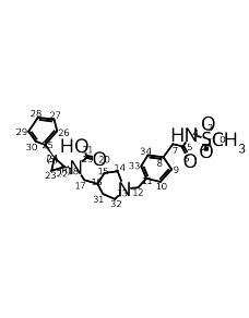 CS(=O)(=O)NC(=O)Cc1ccc(CN2CCC(CN(C(=O)O)[C@@H]3C[C@H]3c3ccccc3)CC2)cc1